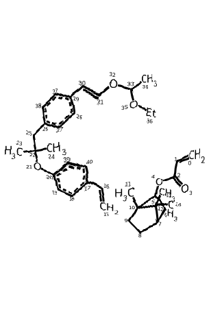 C=CC(=O)OC1CC2CCC1(C)C2(C)C.C=Cc1ccc(OC(C)(C)Cc2ccc(C=COC(C)OCC)cc2)cc1